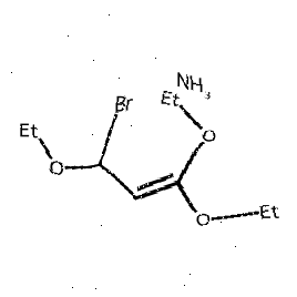 CCOC(=CC(Br)OCC)OCC.N